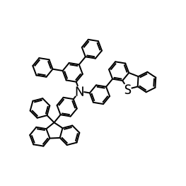 c1ccc(-c2cc(-c3ccccc3)cc(N(c3ccc(C4(c5ccccc5)c5ccccc5-c5ccccc54)cc3)c3cccc(-c4cccc5c4sc4ccccc45)c3)c2)cc1